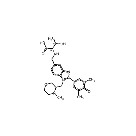 Cc1cc(-c2nc3cc(CN[C@H](C(=O)O)[C@@H](C)O)ccc3n2CC2COCCN2C)cn(C)c1=O